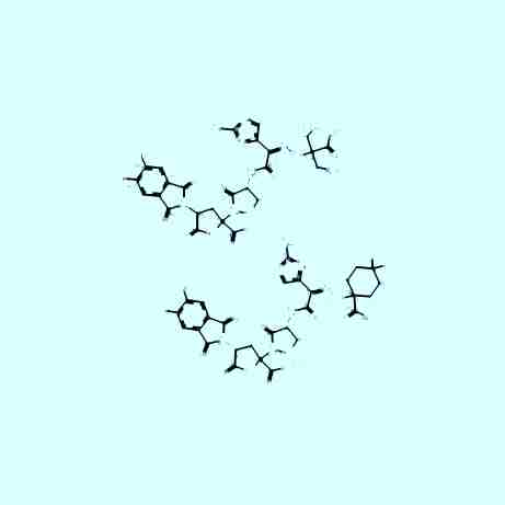 CC1(C)CCC(O/N=C(\C(=O)N[C@H]2CON(C3(C(=O)O)C[C@H](N4C(=O)c5cc(O)c(O)cc5C4=O)C(=O)O3)C2=O)c2csc(N)n2)(C(=O)O)CC1.Nc1nc(/C(=N/OC(CO)(CO)C(=O)O)C(=O)N[C@H]2CON(C3(C(=O)O)CC(N4C(=O)c5cc(O)c(O)cc5C4=O)C(=O)O3)C2=O)cs1